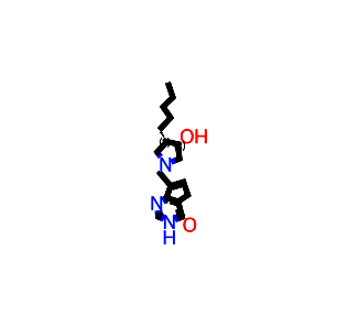 CCCCC[C@H]1CN(CC2=CCc3c2nc[nH]c3=O)C[C@@H]1O